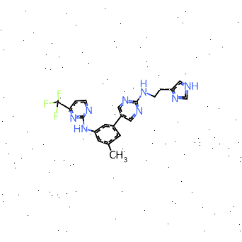 Cc1cc(Nc2nccc(C(F)(F)F)n2)cc(-c2cnc(NCCc3c[nH]cn3)nc2)c1